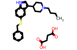 CCCCN1CCC(c2c[nH]c3ccc(SCc4ccccc4)cc23)CC1.O=C(O)CCC(=O)O